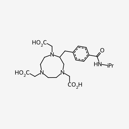 CC(C)NC(=O)c1ccc(CC2CN(CC(=O)O)CCN(CC(=O)O)CCN2CC(=O)O)cc1